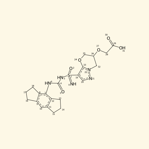 N=S(=O)(NC(=O)Nc1c2c(cc3c1CCC3)CCC2)c1cnn2c1OCC(OCC(=O)O)C2